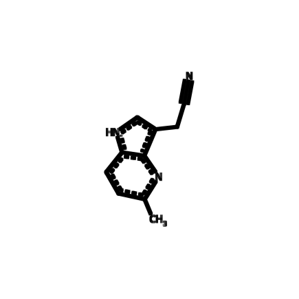 Cc1ccc2[nH]cc(CC#N)c2n1